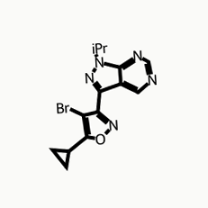 CC(C)n1nc(-c2noc(C3CC3)c2Br)c2cncnc21